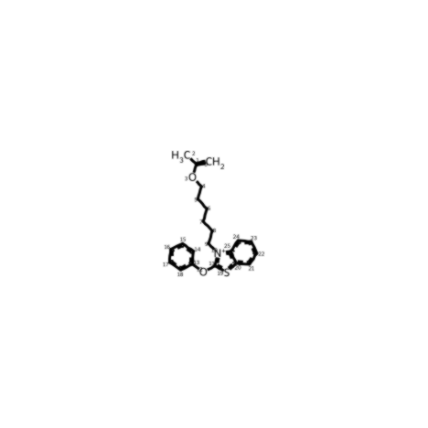 C=C(C)OCCCCCC[n+]1c(Oc2ccccc2)sc2ccccc21